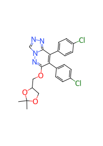 CC1(C)OCC(COc2nn3cnnc3c(-c3ccc(Cl)cc3)c2-c2ccc(Cl)cc2)O1